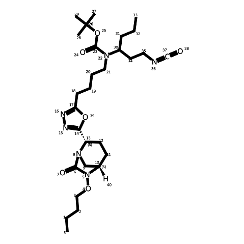 CCCCON1C(=O)N2C[C@@H]1CC[C@H]2c1nnc(CCCCN(C(=O)OC(C)(C)C)C(CCC)CCN=C=O)o1